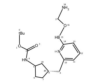 CC(C)(C)OC(=O)NC1CC[C@@H](Cc2cccc(BOCN)n2)C1